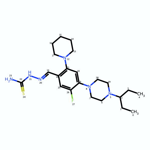 CCC(CC)N1CCN(c2cc(N3CCCCC3)c(/C=N/NC(N)=S)cc2F)CC1